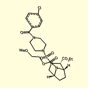 CCOC(=O)[C@@H]1[C@@H]2CC[C@H](CN1S(=O)(=O)N1CCN(C(=O)c3ccc(Cl)cc3)CC1)N2C(=O)OCCOC